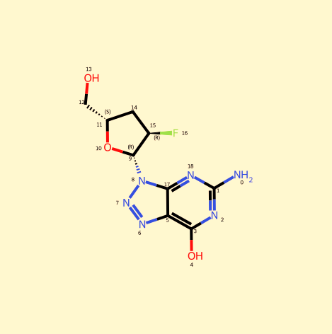 Nc1nc(O)c2nnn([C@@H]3O[C@H](CO)C[C@H]3F)c2n1